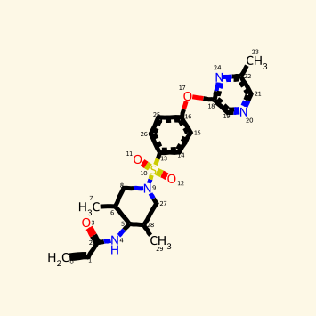 C=CC(=O)NC1C(C)CN(S(=O)(=O)c2ccc(Oc3cncc(C)n3)cc2)CC1C